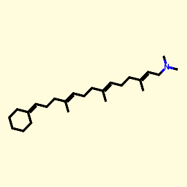 C/C(=C\CC/C(C)=C/CC/C(C)=C/CN(C)C)CCC=C1CCCCC1